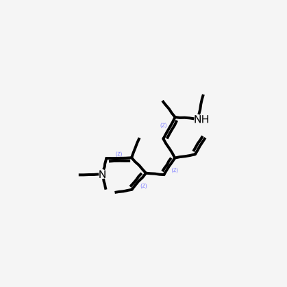 C=CC(=C/C(=C/C)C(/C)=C\N(C)C)/C=C(/C)NC